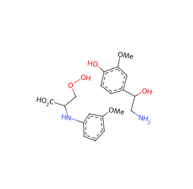 COc1cc(C(O)CN)ccc1O.COc1cccc(NC(COO)C(=O)O)c1